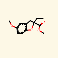 CCC1(C(=O)OC)Cc2cc(OC)ccc2O1